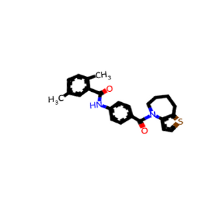 Cc1ccc(C)c(C(=O)Nc2ccc(C(=O)N3CCCCc4sccc43)cc2)c1